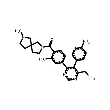 CCc1ncnc(-c2ccc(C(=O)N3CCC4(CCN(C)C4)C3)c(C)c2)c1-c1ccc(N)nc1